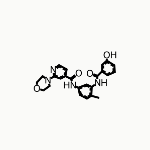 Cc1ccc(NC(=O)c2ccnc(N3CCOCC3)c2)cc1NC(=O)c1cccc(O)c1